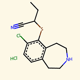 CCC(C#N)Sc1c(Cl)ccc2c1CCNCC2.Cl